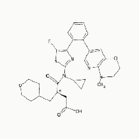 CN1CCOc2cc(-c3ccccc3-c3nc(N(C(=O)[C@@H](CC(=O)O)CC4CCOCC4)C4CC4)sc3F)cnc21